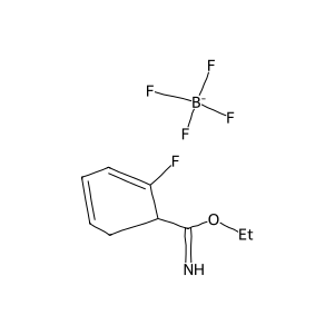 CCOC(=N)C1CC=CC=C1F.F[B-](F)(F)F